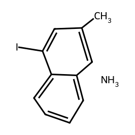 Cc1cc(I)c2ccccc2c1.N